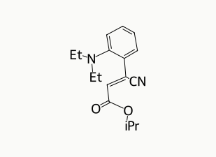 CCN(CC)c1ccccc1C(C#N)=CC(=O)OC(C)C